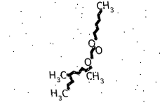 CCCCCCCCOC(=O)CCOCC(C)CCCC(C)CCCC